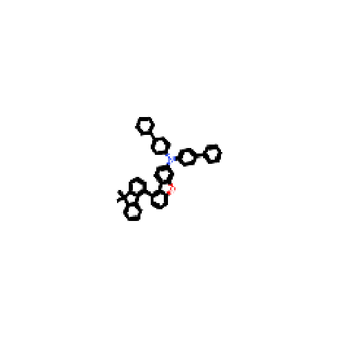 CC1(C)c2ccccc2-c2c(-c3cccc4oc5cc(N(c6ccc(-c7ccccc7)cc6)c6ccc(-c7ccccc7)cc6)ccc5c34)cccc21